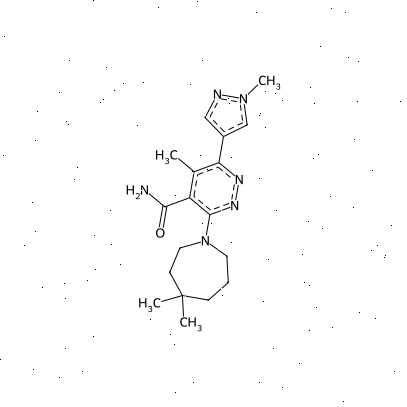 Cc1c(-c2cnn(C)c2)nnc(N2CCCC(C)(C)CC2)c1C(N)=O